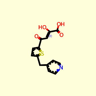 O=C(O)/C(O)=C/C(=O)c1ccc(Cc2ccncc2)s1